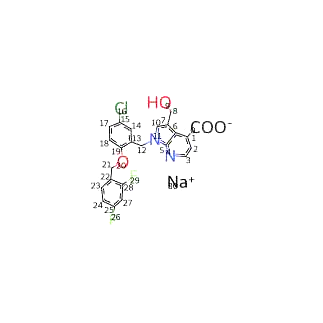 O=C([O-])c1ccnc2c1c(CO)cn2Cc1cc(Cl)ccc1OCc1ccc(F)cc1F.[Na+]